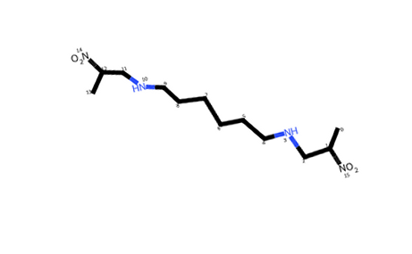 CC(CNCCCCCCNCC(C)[N+](=O)[O-])[N+](=O)[O-]